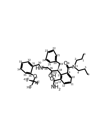 CCCN(CCC)C(=O)c1cccc(C(N)=O)c1[C@H](Cc1ccccc1)[C@@H](O)CNCc1ccccc1OC(F)(F)F